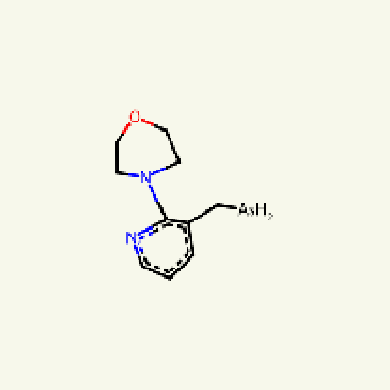 [AsH2]Cc1cccnc1N1CCOCC1